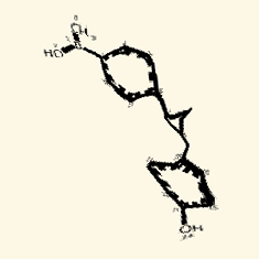 CB(O)c1ccc(C2CC2c2ccc(O)cc2)cc1